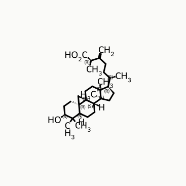 C=C(CC[C@@H](C)[C@H]1CC[C@@]2(C)[C@@H]3CC[C@H]4C(C)(C)[C@@H](O)CC[C@@]45C[C@@]35CC[C@]12C)[C@@H](C)C(=O)O